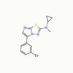 C[CH]c1cccc(-c2cnc3sc(N(C)C4CC4)nn23)c1